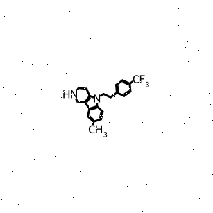 Cc1ccc2c(c1)c1c(n2CCc2ccc(C(F)(F)F)cc2)CCNC1